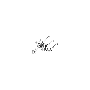 CC(=O)O.CC(=O)O.CC(=O)O.C[CH2][SnH]